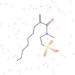 C=C(CCCCCCC)C(=O)N(C)CCS(=O)(=O)O